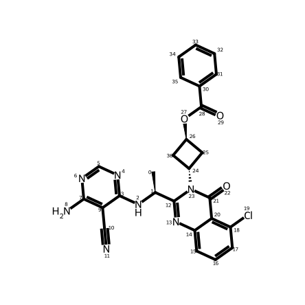 C[C@H](Nc1ncnc(N)c1C#N)c1nc2cccc(Cl)c2c(=O)n1[C@H]1C[C@H](OC(=O)c2ccccc2)C1